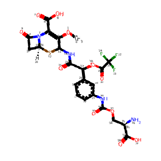 COC1=C(C(=O)O)N2C(=O)C[C@@H]2SC1NC(=O)C(OC(=O)C(F)(F)F)c1cccc(NC(=O)OC[C@@H](N)C(=O)O)c1